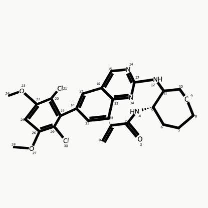 C=CC(=O)N[C@H]1CCCCCC1Nc1ncc2cc(-c3c(Cl)c(OC)cc(OC)c3Cl)ccc2n1